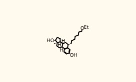 CCOCCCCCCC[C@@H]1C[C@@H]2[C@H](CC[C@]3(C)[C@@H](O)CC[C@@H]23)c2ccc(O)cc21